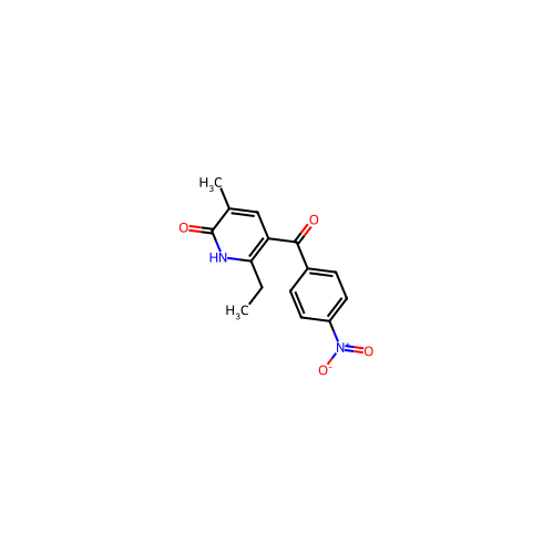 CCc1[nH]c(=O)c(C)cc1C(=O)c1ccc([N+](=O)[O-])cc1